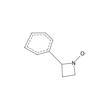 [O]N1CCC1c1ccccc1